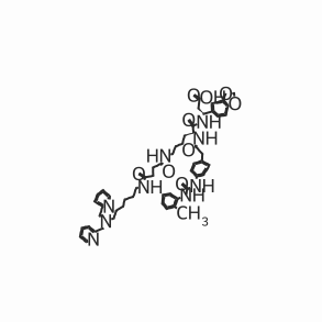 Cc1ccccc1NC(=O)Nc1ccc(CC(=O)N[C@@H](CCCCNC(=O)CCC(=O)NCCCCCCN(Cc2ccccn2)Cc2ccccn2)C(=O)N[C@@H](CC(=O)O)c2ccc3c(c2)OCO3)cc1